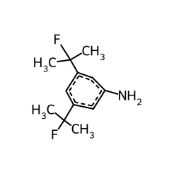 CC(C)(F)c1cc(N)cc(C(C)(C)F)c1